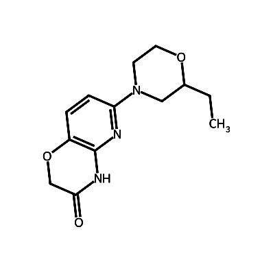 CCC1CN(c2ccc3c(n2)NC(=O)CO3)CCO1